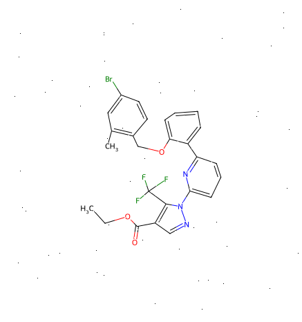 CCOC(=O)c1cnn(-c2cccc(-c3ccccc3OCc3ccc(Br)cc3C)n2)c1C(F)(F)F